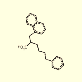 O=C(O)C(CCCCc1ccccc1)Cc1cccc2ccccc12